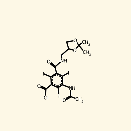 [CH2]C(=O)Nc1c(I)c(C(=O)Cl)c(I)c(C(=O)NCC2COC(C)(C)O2)c1I